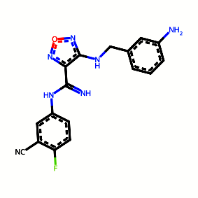 N#Cc1cc(NC(=N)c2nonc2NCc2cccc(N)c2)ccc1F